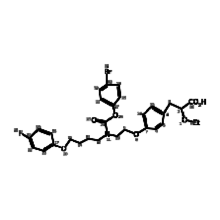 CCOC(Cc1ccc(OCCN(CCCCOc2ccc(F)cc2)C(=O)Oc2ccc(Br)cc2)cc1)C(=O)O